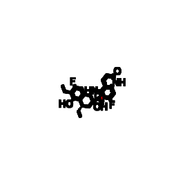 CCc1c(F)cc2c(c1O)[C@@H](CC)C[C@](O)(C(F)(F)F)[C@H]2Nc1cc(F)cc2[nH]c(=O)ccc12